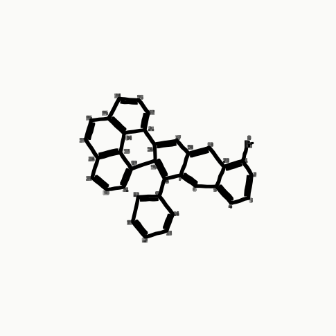 Brc1cccc2cc3c(-c4ccccc4)c4c(cc3cc12)c1cccc2ccc3cccc4c3c21